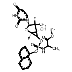 CC(C)OC(=O)C(C)NP(=O)(Oc1cccc2ccccc12)OC1[C@]2(O)[C@@](C)(F)[C@H](n3ccc(=O)[nH]c3=O)O[C@]12F